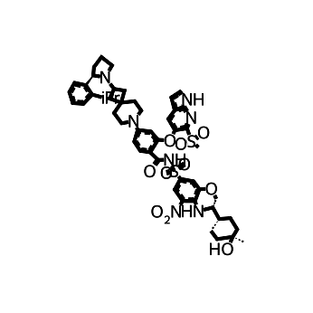 CC(C)c1ccccc1[C@H]1CCCN1C1CC2(CCN(c3ccc(C(=O)NS(=O)(=O)c4cc5c(c([N+](=O)[O-])c4)N[C@@H]([C@H]4CC[C@](C)(O)CC4)CO5)c(Oc4cc5cc[nH]c5nc4S(C)(=O)=O)c3)CC2)C1